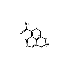 NC(=O)C1=c2cccc3c2=C(CC1)CNC3